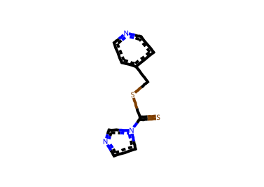 S=C(SCc1ccncc1)n1ccnc1